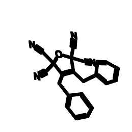 N#CC1(C#N)OC(C#N)(C#N)C(Cc2ccccc2)=C1Cc1ccccc1